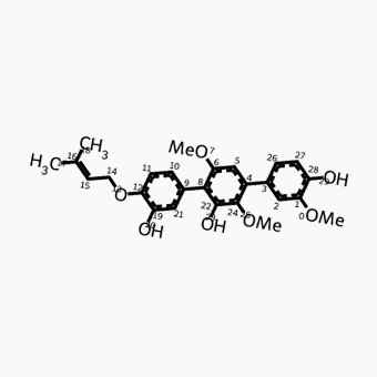 COc1cc(-c2cc(OC)c(-c3ccc(OCC=C(C)C)c(O)c3)c(O)c2OC)ccc1O